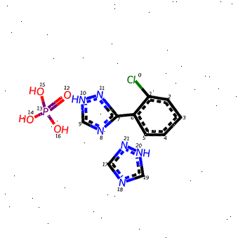 Clc1ccccc1-c1nc[nH]n1.O=P(O)(O)O.c1nc[nH]n1